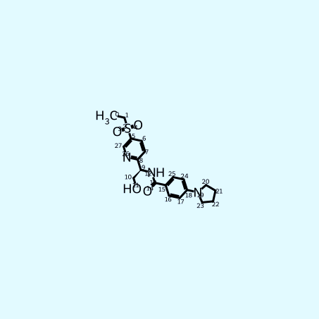 CCS(=O)(=O)c1ccc([C@H](CO)NC(=O)c2ccc(N3CCCC3)cc2)nc1